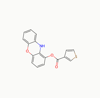 O=C(Oc1cccc2c1Nc1ccccc1O2)c1ccsc1